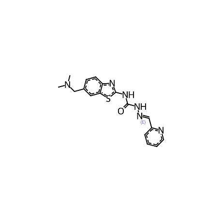 CN(C)Cc1ccc2nc(NC(=O)N/N=C/c3ccccn3)sc2c1